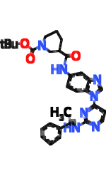 C[C@H](Nc1nccc(-n2cnc3cc(NC(=O)C4CCCN(C(=O)OC(C)(C)C)C4)ccc32)n1)c1ccccc1